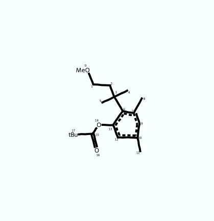 COCCC(C)(C)c1c(C)cc(C)cc1OC(=O)C(C)(C)C